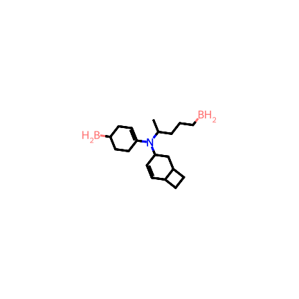 BCCCC(C)N(C1=CCC(B)CC1)C1C=CC2CCC2C1